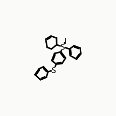 IS(c1ccccc1)(c1ccc(Sc2ccccc2)cc1)C1CC=CCC1